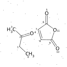 CCC(C)=O.O=C1C=CC(=O)O1